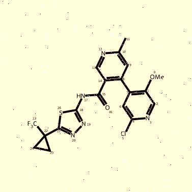 COc1cnc(Cl)cc1-c1cc(C)ncc1C(=O)Nc1nnc(C2(C(F)(F)F)CC2)s1